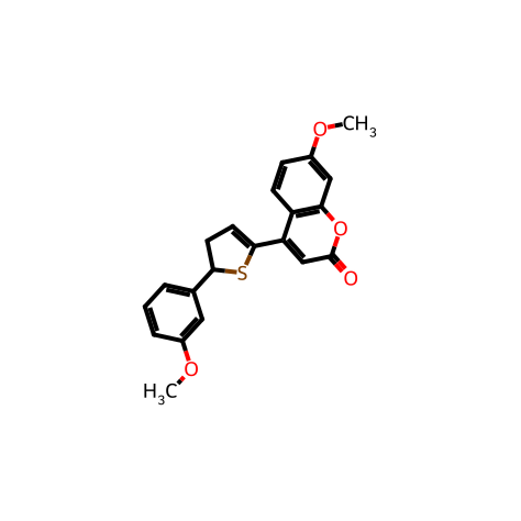 COc1cccc(C2CC=C(c3cc(=O)oc4cc(OC)ccc34)S2)c1